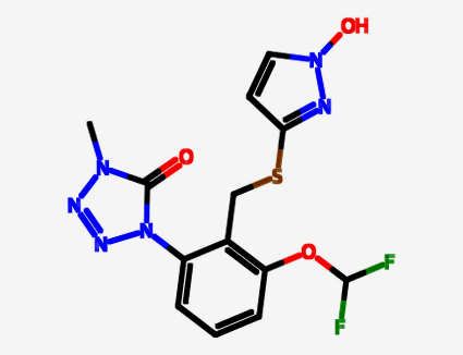 Cn1nnn(-c2cccc(OC(F)F)c2CSc2ccn(O)n2)c1=O